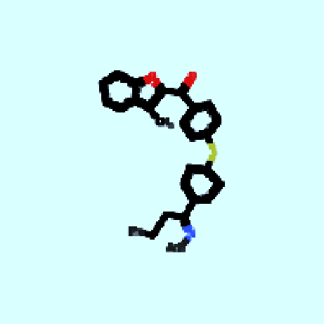 CC(=O)ON=C(CCC(C)C)c1ccc(Sc2ccc(C(=O)c3oc4ccccc4c3C)cc2)cc1